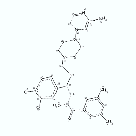 Cc1cc(C)cc(C(=O)N(C)C[C@@H](CCN2CCN(N3C=C(N)N=CC3)CC2)c2ccc(Cl)c(Cl)c2)c1